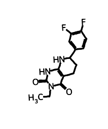 CCn1c(=O)[nH]c2c(c1=O)CCC(c1ccc(F)c(F)c1)N2